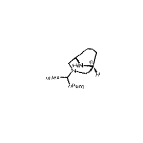 CCCCCCC(CCCCC)N1CC2CC[C@H](C1)N2